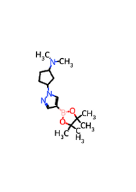 CN(C)C1CCC(n2cc(B3OC(C)(C)C(C)(C)O3)cn2)C1